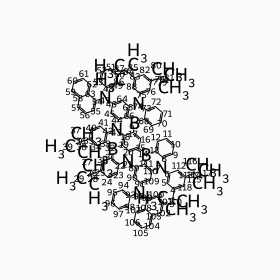 CC(C)(C)c1cc(N2c3ccccc3B3c4cc5c6c7c4N(c4ccc(C(C)(C)C)cc4B7c4cc(C(C)(C)C)ccc4N6c4cc(N(c6ccccc6)c6cccc7ccccc67)cc6c4B5c4ccccc4N6c4cc(C(C)(C)C)cc(C(C)(C)C)c4)c4cc(N(c5ccccc5)c5cccc6ccccc56)cc2c43)cc(C(C)(C)C)c1